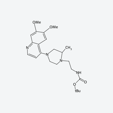 COc1cc2nccc(N3CCN(CCNC(=O)OC(C)(C)C)C(C)C3)c2cc1OC